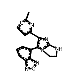 Cc1cccc(-c2nc3n(c2-c2cccc4nonc24)CCN3)n1